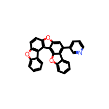 c1cncc(-c2cc3oc4ccc5oc6ccccc6c5c4c3c3oc4ccccc4c23)c1